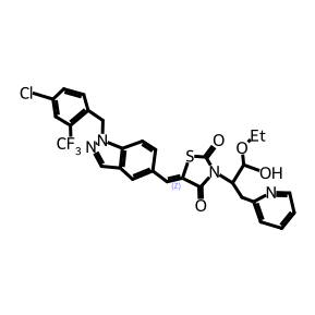 CCOC(O)C(Cc1ccccn1)N1C(=O)S/C(=C\c2ccc3c(cnn3Cc3ccc(Cl)cc3C(F)(F)F)c2)C1=O